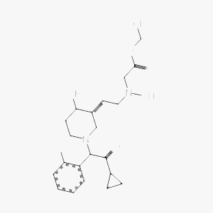 CCOC(=O)CN(C)C/C=C1\CN(C(C(=O)C2CC2)c2ccccc2F)CCC1S